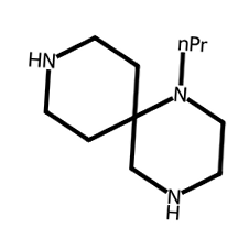 CCCN1CCNCC12CCNCC2